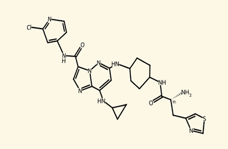 N[C@H](Cc1cscn1)C(=O)NC1CCC(Nc2cc(NC3CC3)c3ncc(C(=O)Nc4ccnc(Cl)c4)n3n2)CC1